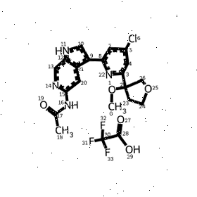 COC1(c2cc(Cl)cc(-c3c[nH]c4cnc(NC(C)=O)cc34)n2)CCOC1.O=C(O)C(F)(F)F